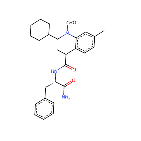 Cc1ccc(C(C)C(=O)N[C@@H](Cc2ccccc2)C(N)=O)c(N(C=O)CC2CCCCC2)c1